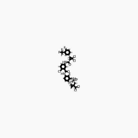 O=C(Nc1ccc(F)c(NS(=O)(=O)CC2(C(Cl)Cl)CC2)c1F)c1cc(NC(=O)[C@H]2[C@H](c3ccc(F)c(C(F)(F)F)c3)C2(Cl)Cl)ccc1Cl